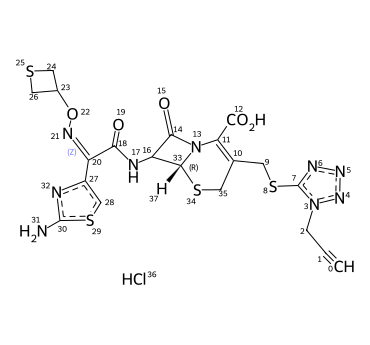 C#CCn1nnnc1SCC1=C(C(=O)O)N2C(=O)C(NC(=O)/C(=N\OC3CSC3)c3csc(N)n3)[C@H]2SC1.Cl